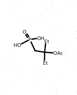 CCC(CC)(CP(=O)(O)O)OC(C)=O